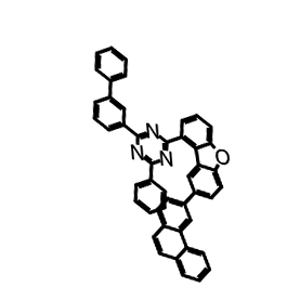 c1ccc(-c2cccc(-c3nc(-c4ccccc4)nc(-c4cccc5oc6ccc(-c7ccc8ccc9ccccc9c8c7)cc6c45)n3)c2)cc1